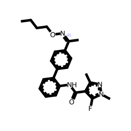 CCCCO/N=C(/C)c1ccc(-c2ccccc2NC(=O)c2c(C)nn(C)c2F)cc1